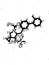 Cc1ccccc1-c1cccc(CC2C(NS(C)(=O)=O)C3(CC3)CN2C(=O)C(C)C)c1